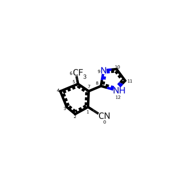 N#Cc1cccc(C(F)(F)F)c1-c1ncc[nH]1